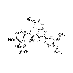 COc1ccc(C(Cc2ccc(Br)cc2)NCC(O)Cc2ccc(O)c(NS(C)(=O)=O)c2)cc1OC